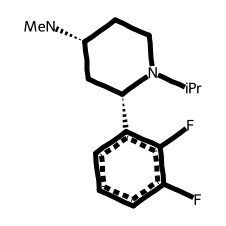 CN[C@@H]1CCN(C(C)C)[C@H](c2cccc(F)c2F)C1